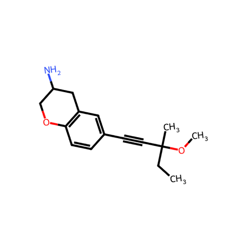 CCC(C)(C#Cc1ccc2c(c1)CC(N)CO2)OC